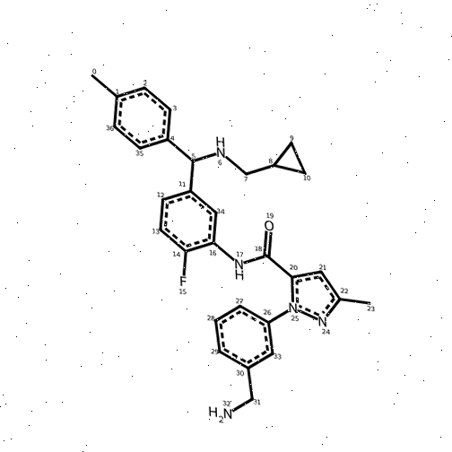 Cc1ccc(C(NCC2CC2)c2ccc(F)c(NC(=O)c3cc(C)nn3-c3cccc(CN)c3)c2)cc1